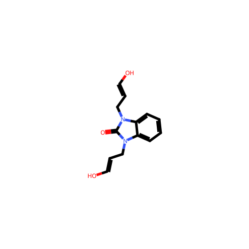 O=c1n(CC=CO)c2ccccc2n1CC=CO